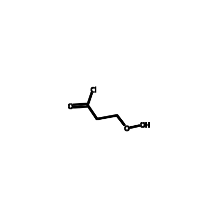 O=C(Cl)CCOO